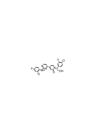 O=c1cc(-c2ccnc(Nc3ccc(F)cc3Cl)n2)ccn1C(CO)c1ccc(Cl)c(F)c1